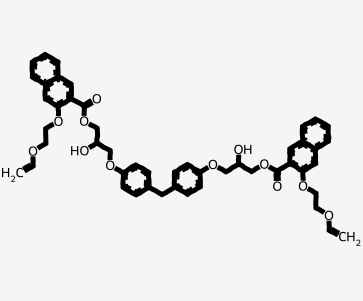 C=COCCOc1cc2ccccc2cc1C(=O)OCC(O)COc1ccc(Cc2ccc(OCC(O)COC(=O)c3cc4ccccc4cc3OCCOC=C)cc2)cc1